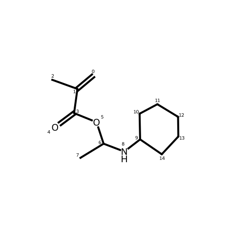 C=C(C)C(=O)OC(C)NC1CCCCC1